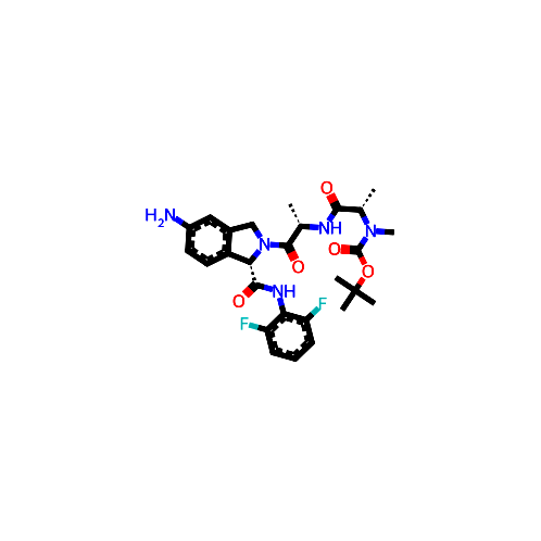 C[C@H](NC(=O)[C@H](C)N(C)C(=O)OC(C)(C)C)C(=O)N1Cc2cc(N)ccc2[C@H]1C(=O)Nc1c(F)cccc1F